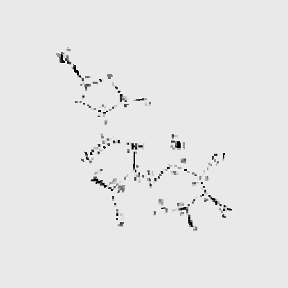 CCCC[C@@H]1C[C@@H](C(=O)N[C@@H]([C@H]2O[C@H](C)[C@H](O)[C@@H](O)[C@H]2O)[C@H](C)Cl)N(C)C1